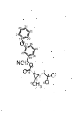 CC1[C@@H](CC(Cl)Cl)[C@H]1C(=O)O[C@H](C#N)c1cccc(Oc2ccccc2)c1